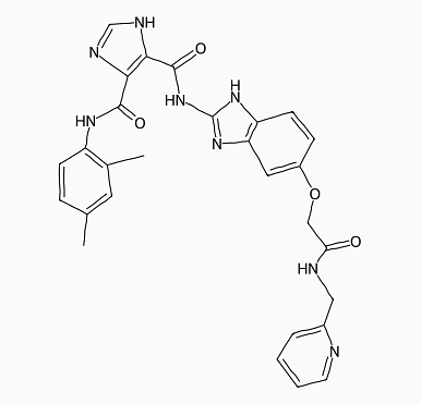 Cc1ccc(NC(=O)c2nc[nH]c2C(=O)Nc2nc3cc(OCC(=O)NCc4ccccn4)ccc3[nH]2)c(C)c1